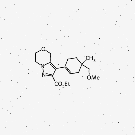 CCOC(=O)c1nn2c(c1C1=CCC(C)(COC)CC1)COCC2